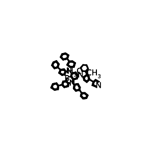 CC12CCCCC1(C)N(c1cc3c4c(c1)N(c1cccc(-c5ccccc5)c1)c1cc(-c5ccccc5)ccc1B4c1cc(-c4ccccc4)ccc1N3c1ccc(-c3ccccc3)cc1)c1ccc(-c3ccncc3)cc12